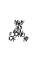 C=C(F)C(=O)N1CCN(c2nc(OC[C@@H]3CCCN3C)nc3cc(-c4c(F)cccc4F)c4ccoc4c23)C[C@@H]1CC#N